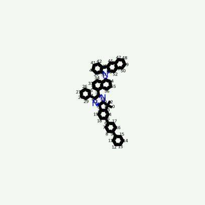 CC1(C)c2cc(-c3ccc(-c4ccccc4)cc3)ccc2-c2nc(-c3ccccc3)c(-c3cccc4c(-n5c6ccccc6c6cc7ccccc7cc65)cccc34)nc21